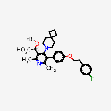 Cc1nc(C)c([C@H](OC(C)(C)C)C(=O)O)c(N2CCC3(CCC3)CC2)c1-c1ccc(OCCc2ccc(F)cc2)cc1